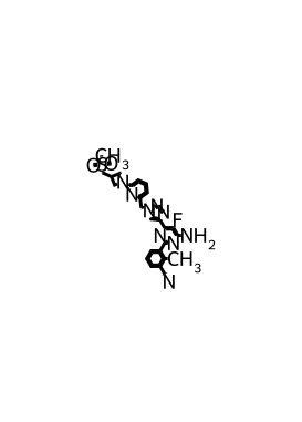 Cc1c(C#N)cccc1-c1nc(N)c(F)c(-c2cn(Cc3cccc(N4CC(CS(C)(=O)=O)C4)n3)nn2)n1